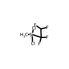 C[Si](Cl)(Cl)C(F)(F)C(F)F